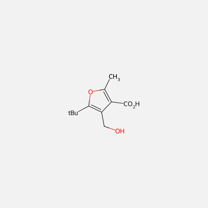 Cc1oc(C(C)(C)C)c(CO)c1C(=O)O